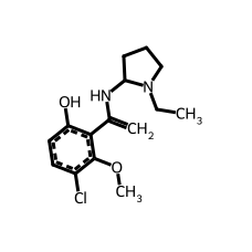 C=C(NC1CCCN1CC)c1c(O)ccc(Cl)c1OC